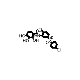 O=C(Nc1cc(S(=O)(=O)c2ccc(Cl)cc2)ccc1Cl)c1ccc(O)c(O)c1O